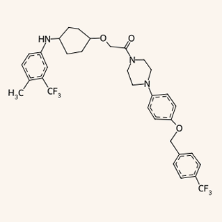 Cc1ccc(NC2CCC(OCC(=O)N3CCN(c4ccc(OCc5ccc(C(F)(F)F)cc5)cc4)CC3)CC2)cc1C(F)(F)F